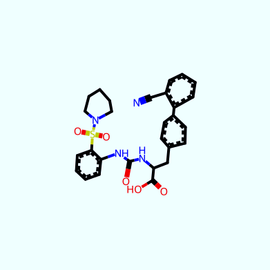 N#Cc1ccccc1-c1ccc(CC(NC(=O)Nc2ccccc2S(=O)(=O)N2CCCCC2)C(=O)O)cc1